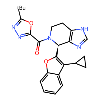 CC(C)(C)c1nnc(C(=O)N2CCc3[nH]cnc3[C@H]2c2oc3ccccc3c2C2CC2)o1